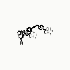 CC(C)N1CCN(CC#Cc2ccc(NN(CC(C)(C)C)c3cc(C#N)nc4nccn34)cc2)CC1